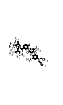 CCC(CN(CC(CC)C(C)(C)C)C(=O)c1ccc(I)c(NC(=O)/C(=N/c2ccc(N(CC)CCN)cc2C)C(=O)C(C)(C)C)c1)C(C)(C)C